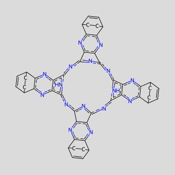 C1=CC2CCC1c1nc3c(nc12)-c1nc-3nc2[nH]c(nc3nc(nc4[nH]c(n1)c1nc5c(nc41)C1C=CC5CC1)-c1nc4c(nc1-3)C1C=CC4CC1)c1nc3c(nc21)C1C=CC3CC1